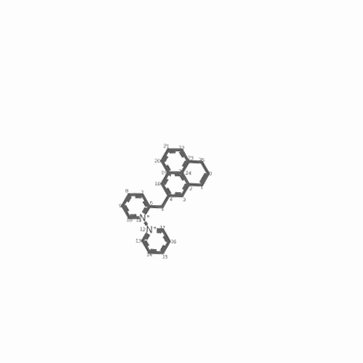 C1=Cc2cc(Cc3cccc[n+]3-[n+]3ccccc3)cc3cccc(c23)C1